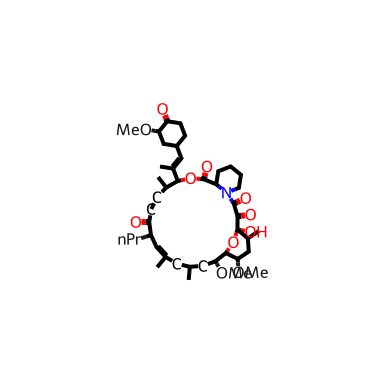 CCCC1C=C(C)CC(C)CC(OC)C2OC(O)(C(=O)C(=O)N3CCCCC3C(=O)OC(C(C)=CC3CCC(=O)C(OC)C3)C(C)CCC1=O)C(C)CC2OC